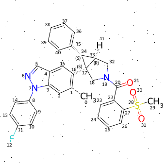 Cc1cc2c(cnn2-c2ccc(F)cc2)cc1[C@@]12CN(C(=O)c3ccccc3S(C)(=O)=O)C[C@@H]1[C@H]2c1ccccc1